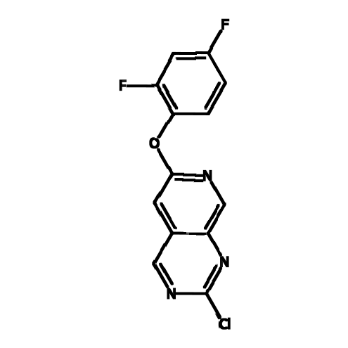 Fc1ccc(Oc2cc3cnc(Cl)nc3cn2)c(F)c1